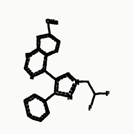 COc1ccc2c(-c3cn(CC(F)F)nc3-c3ccccc3)ncnc2c1